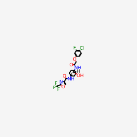 O=C(COc1ccc(Cl)c(F)c1)NC12CCC(NC(=O)c3coc(C(F)(F)F)n3)(CC1)C[C@@H]2O